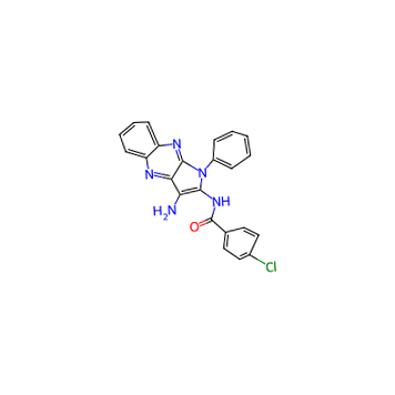 Nc1c(NC(=O)c2ccc(Cl)cc2)n(-c2ccccc2)c2nc3ccccc3nc12